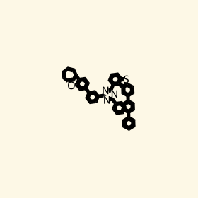 C1=CC2=CC(C=C1)c1ccc(-c3cccc(-c4nc(-c5ccccc5)nc(-c5cccc6sc7ccc(-c8ccc(-c9ccccc9)cc8)cc7c56)n4)c3)cc1O2